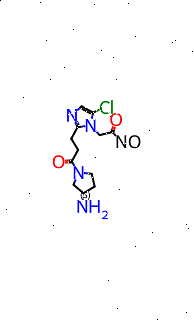 N[C@H]1CCN(C(=O)CCc2ncc(Cl)n2CC(=O)N=O)C1